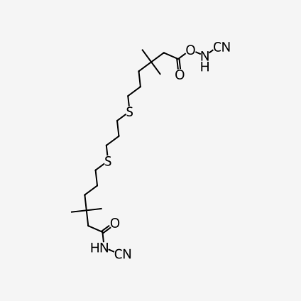 CC(C)(CCCSCCCSCCCC(C)(C)CC(=O)ONC#N)CC(=O)NC#N